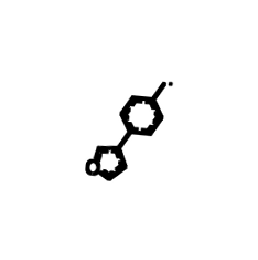 [CH2]c1ccc(-c2ccoc2)cc1